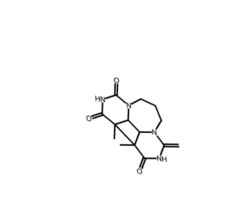 C=C1NC(=O)C2(C)C3C4N(CCCN13)C(=O)NC(=O)C42C